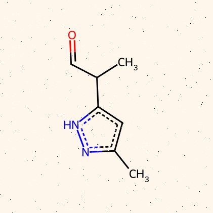 Cc1cc(C(C)C=O)[nH]n1